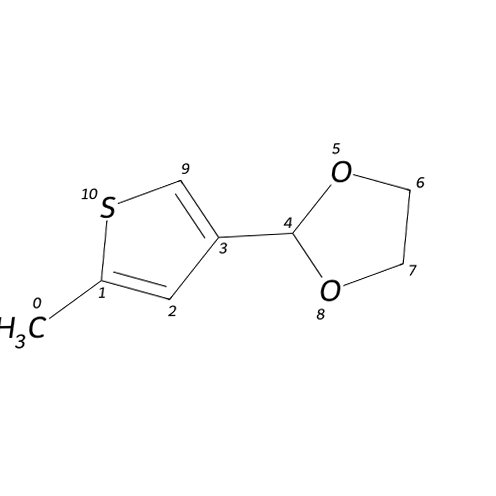 Cc1cc(C2OCCO2)cs1